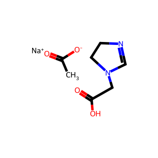 CC(=O)[O-].O=C(O)CN1C=NCC1.[Na+]